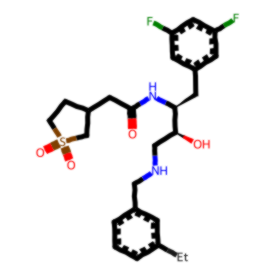 CCc1cccc(CNC[C@H](O)[C@H](Cc2cc(F)cc(F)c2)NC(=O)CC2CCS(=O)(=O)C2)c1